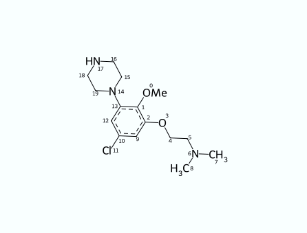 COc1c(OCCN(C)C)cc(Cl)cc1N1CCNCC1